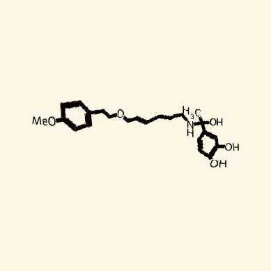 COc1ccc(CCOCCCCCCNC(C)(O)c2ccc(O)c(O)c2)cc1